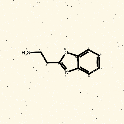 NCCc1nc2ccccc2o1